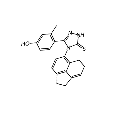 Cc1cc(O)ccc1-c1n[nH]c(=S)n1-c1ccc2c3c1CCC=C3CC2